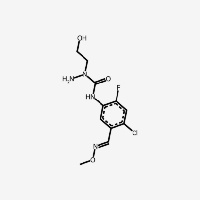 CON=Cc1cc(NC(=O)N(N)CCO)c(F)cc1Cl